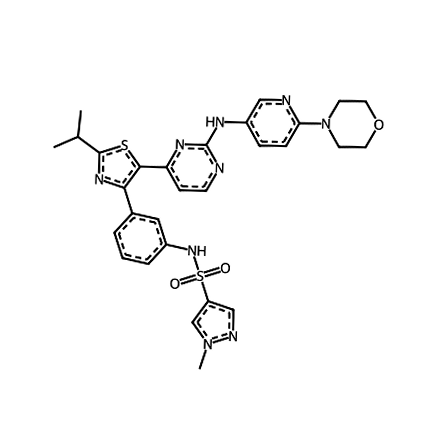 CC(C)c1nc(-c2cccc(NS(=O)(=O)c3cnn(C)c3)c2)c(-c2ccnc(Nc3ccc(N4CCOCC4)nc3)n2)s1